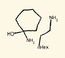 CCCCCCCCN.NC1(O)CCCCC1